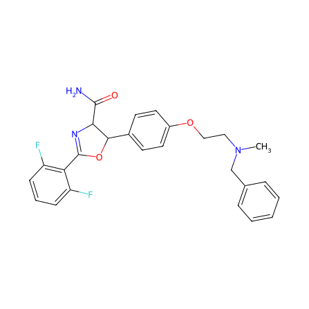 CN(CCOc1ccc(C2OC(c3c(F)cccc3F)=NC2C(N)=O)cc1)Cc1ccccc1